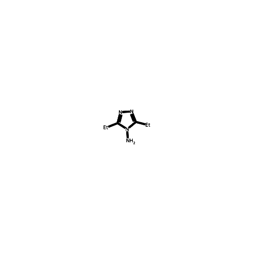 CCc1nnc(CC)n1N